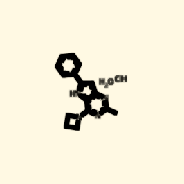 Cc1nc(N2CCC2)c2[nH]c(-c3ccccc3)cc2n1.Cl.O